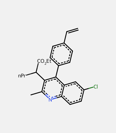 C=Cc1ccc(-c2c(C(CCC)C(=O)OCC)c(C)nc3ccc(Cl)cc23)cc1